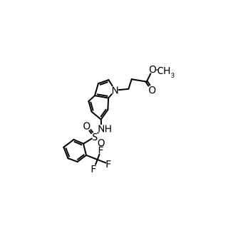 COC(=O)CCn1ccc2ccc(NS(=O)(=O)c3ccccc3C(F)(F)F)cc21